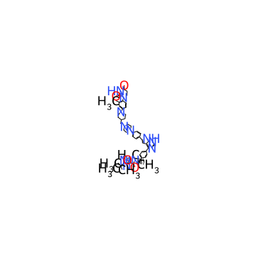 Cc1cc(-c2ncnc3[nH]c(-c4ccc(N5CCN(CC6CCN(c7ccc(N8CCC(=O)NC8=O)c(C)c7)CC6)CC5)cc4)cc23)ccc1[C@@H](C)NC(=O)c1nc(C(C)(C)C)no1